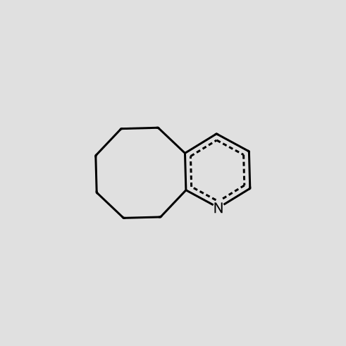 c1cnc2c(c1)CCCCCC2